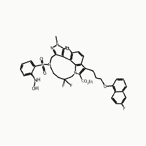 CCOC(=O)c1c(CCCOc2cccc3cc(F)ccc23)c2ccc(Cl)c3c2n1CC(F)(F)CCN(S(=O)(=O)c1ccccc1NO)Cc1nn(C)c(CC)c1-3